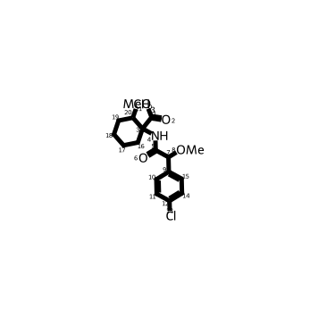 COC(=O)C1(NC(=O)C(OC)c2ccc(Cl)cc2)CCCCC1C